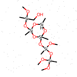 CO[Si](C)(CO)O[Si]1(C)O[SiH](C)O[Si](C)(O[Si](C)(OC)O[Si](C)(OC)OC)O1